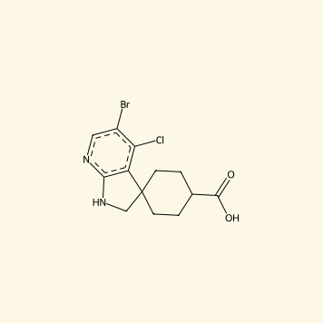 O=C(O)C1CCC2(CC1)CNc1ncc(Br)c(Cl)c12